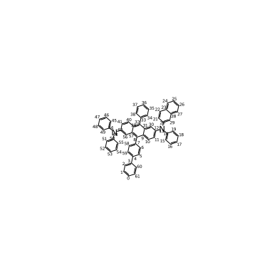 c1ccc(-c2ccc(-c3c4ccc(N(c5ccccc5)c5ccc6ccccc6c5)cc4c(-c4ccccc4)c4ccc(N(c5ccccc5)c5ccccc5)cc34)cc2)cc1